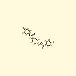 Cc1ccc(C(=O)OCC2CCC([CH2][Co](=[O])[c]3ccc(C)cc3)CC2)cc1